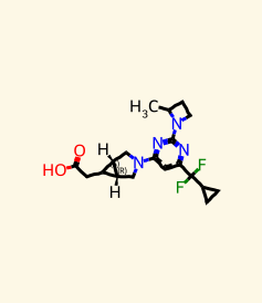 CC1CCN1c1nc(N2C[C@@H]3C(CC(=O)O)[C@@H]3C2)cc(C(F)(F)C2CC2)n1